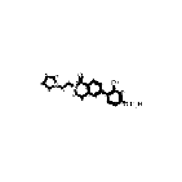 O=C(O)c1ccc(-c2ccc3c(c2)CCN(CCN2CCCC2)C3=O)c(F)c1